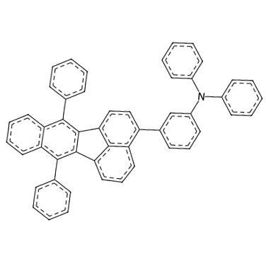 c1ccc(-c2c3c(c(-c4ccccc4)c4ccccc24)-c2ccc(-c4cccc(N(c5ccccc5)c5ccccc5)c4)c4cccc-3c24)cc1